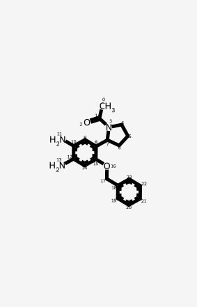 CC(=O)N1CCCC1c1cc(N)c(N)cc1OCc1ccccc1